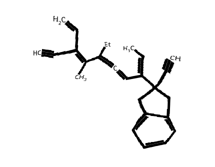 C#C/C(C=C)=C(\C)C(=C=C/C(=C\C)C1(C#C)Cc2ccccc2C1)CC